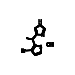 CC(c1c[nH]cn1)c1sccc1Br.Cl